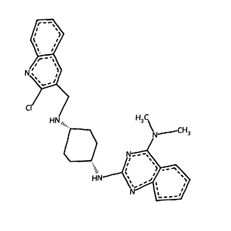 CN(C)c1nc(N[C@H]2CC[C@@H](NCc3cc4ccccc4nc3Cl)CC2)nc2ccccc12